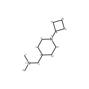 CN(C)CC1CCN(C2CCC2)CC1